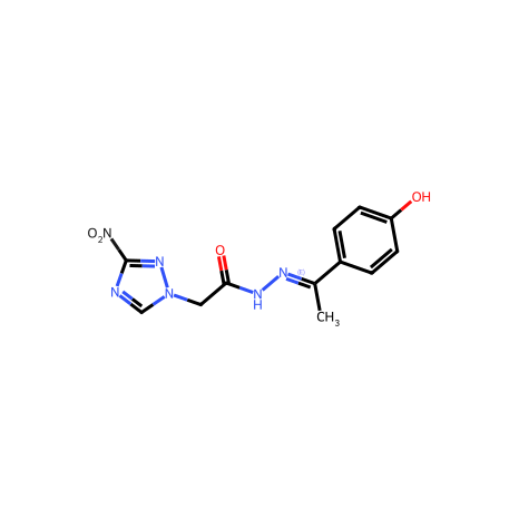 C/C(=N\NC(=O)Cn1cnc([N+](=O)[O-])n1)c1ccc(O)cc1